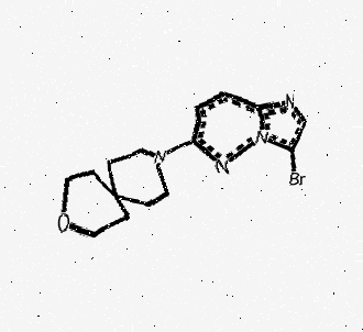 Brc1cnc2ccc(N3CCC4(CCOCC4)CC3)nn12